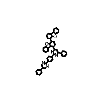 c1ccc(-c2cnc(-c3ccc(-c4nc(-c5ccccc5)cc(-c5ccc(-c6cccc7c6oc6ccccc67)c6oc7ccccc7c56)n4)cc3)nc2)cc1